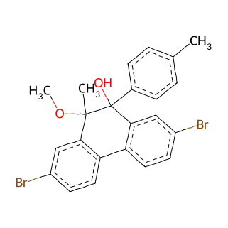 COC1(C)c2cc(Br)ccc2-c2ccc(Br)cc2C1(O)c1ccc(C)cc1